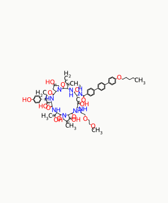 C=C[C@H](C)C1NC(=O)C(NC(=O)c2ccc(-c3ccc(-c4ccc(OCCCCC)cc4)cc3)cc2)C[C@@H](O)C(NCCOCCOC)NC(=O)C2[C@@H](O)[C@@H](C)CN2C(=O)C([C@@H](C)O)NC(=O)C([C@H](O)[C@@H](C=C)c2ccc(O)cc2)NC(=O)C2C[C@@H](O)CN2C1=O